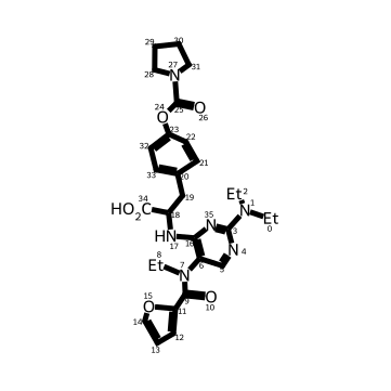 CCN(CC)c1ncc(N(CC)C(=O)c2ccco2)c(NC(Cc2ccc(OC(=O)N3CCCC3)cc2)C(=O)O)n1